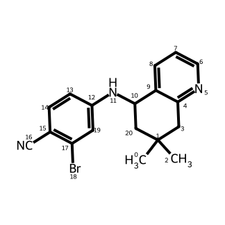 CC1(C)Cc2ncccc2C(Nc2ccc(C#N)c(Br)c2)C1